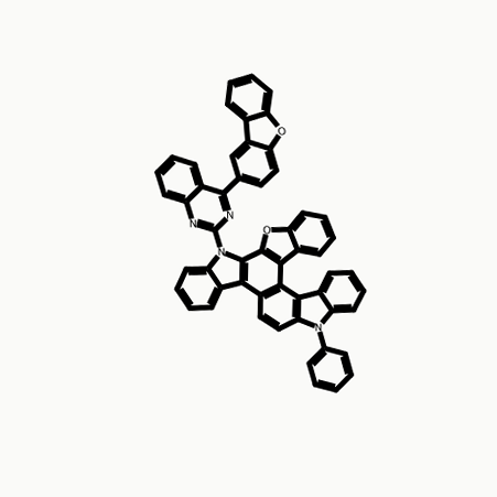 c1ccc(-n2c3ccccc3c3c4c(ccc32)c2c3ccccc3n(-c3nc(-c5ccc6oc7ccccc7c6c5)c5ccccc5n3)c2c2oc3ccccc3c24)cc1